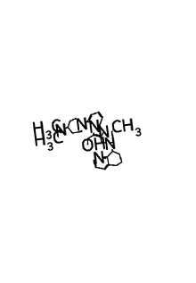 CCCN(Cc1nc2cccc(N3CCC(N(C)C)CC3)n2c1CO)[C@H]1CCCc2cccnc21